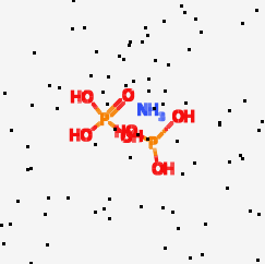 N.O=P(O)(O)O.OP(O)O